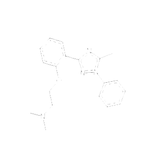 Cc1nc(-c2ccccc2OCCN(C)C)nn1-c1ccccc1